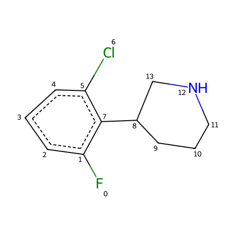 Fc1cccc(Cl)c1C1CCCNC1